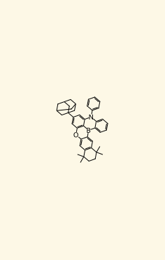 CC1(C)CCC(C)(C)c2cc3c(cc21)Oc1cc(C24CC5CC(CC(C5)C2)C4)cc2c1B3c1ccccc1N2c1ccccc1